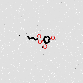 CCC[CH]C(=O)Oc1ccc(OC)cc1OC